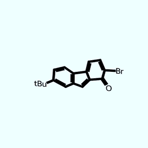 CC(C)(C)c1ccc2c(c1)C=C1C(=O)C(Br)=CC=C12